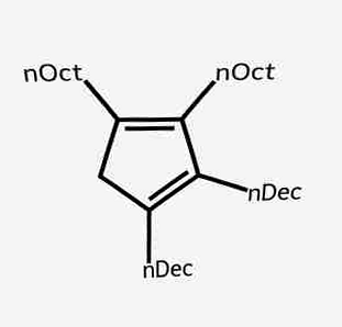 CCCCCCCCCCC1=C(CCCCCCCCCC)C(CCCCCCCC)=C(CCCCCCCC)C1